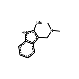 CN(C)Cc1c(C(C)(C)C)[nH]c2ccccc12